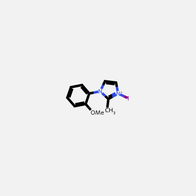 COc1ccccc1-n1cc[n+](I)c1C